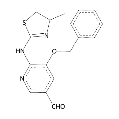 CC1CSC(Nc2ncc(C=O)cc2OCc2ccccc2)=N1